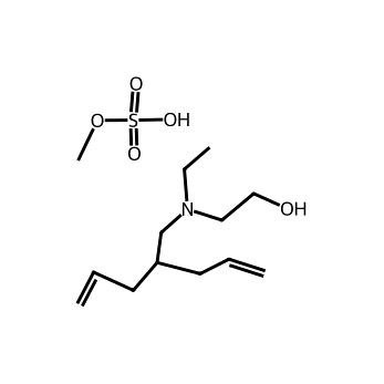 C=CCC(CC=C)CN(CC)CCO.COS(=O)(=O)O